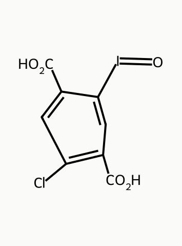 O=Ic1cc(C(=O)O)c(Cl)cc1C(=O)O